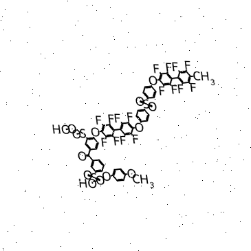 COc1ccc(Oc2ccc(C(=O)c3ccc(Oc4c(F)c(F)c(-c5c(F)c(F)c(Oc6ccc(S(=O)(=O)c7ccc(Oc8c(F)c(F)c(-c9c(F)c(F)c(C)c(F)c9F)c(F)c8F)cc7)cc6)c(F)c5F)c(F)c4F)c(SOOO)c3)cc2S(=O)(=O)O)cc1